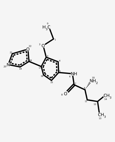 CCOc1cc(NC(=O)[C@H](N)CC(C)C)ccc1-c1cnco1